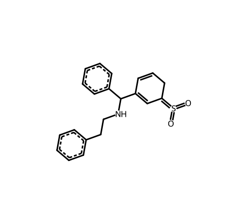 O=S(=O)=C1C=C(C(NCCc2ccccc2)c2ccccc2)C=CC1